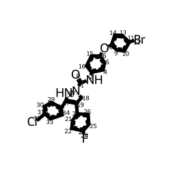 O=C(Nc1ccc(Oc2ccc(Br)cc2)cc1)N1CC(c2ccc(F)cc2)=C(c2ccc(Cl)cc2)N1